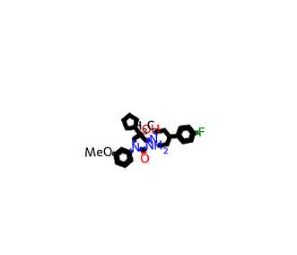 COc1cccc(N(C[C@@](O)(CN2CCC(c3ccc(F)cc3)CC2C)C2CCCC2)C(N)=O)c1